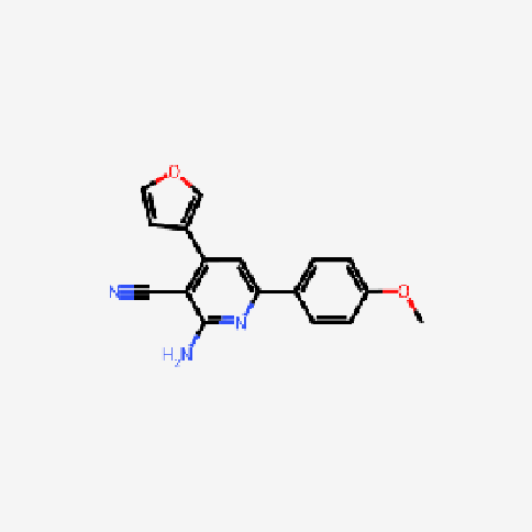 COc1ccc(-c2cc(-c3ccoc3)c(C#N)c(N)n2)cc1